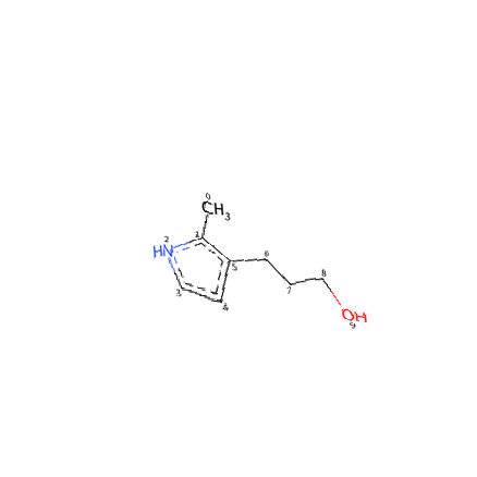 Cc1[nH]ccc1CCCO